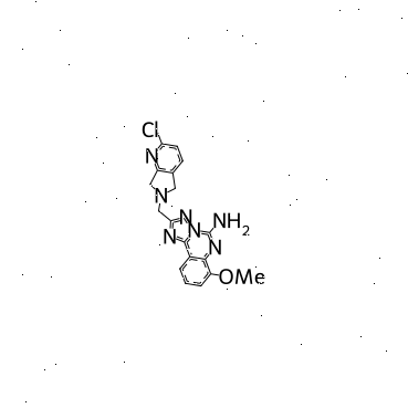 COc1cccc2c1nc(N)n1nc(CN3Cc4ccc(Cl)nc4C3)nc21